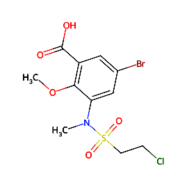 COc1c(C(=O)O)cc(Br)cc1N(C)S(=O)(=O)CCCl